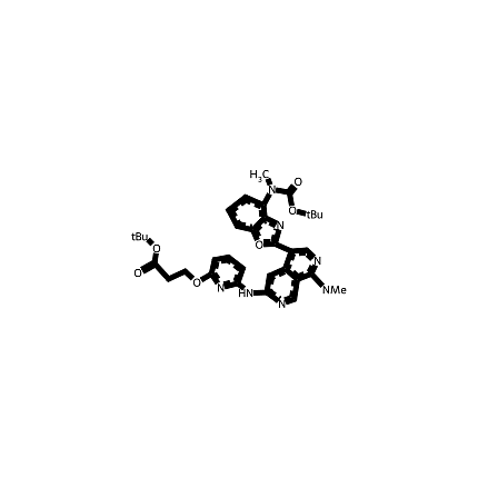 CNc1ncc(-c2nc3c(N(C)C(=O)OC(C)(C)C)cccc3o2)c2cc(Nc3cccc(OCCC(=O)OC(C)(C)C)n3)ncc12